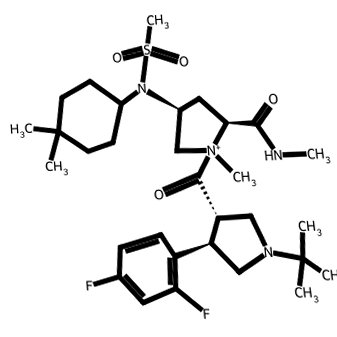 CNC(=O)[C@@H]1C[C@H](N(C2CCC(C)(C)CC2)S(C)(=O)=O)C[N+]1(C)C(=O)[C@@H]1CN(C(C)(C)C)C[C@H]1c1ccc(F)cc1F